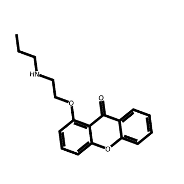 CCCNCCOc1cccc2oc3ccccc3c(=O)c12